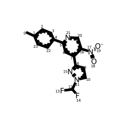 Cc1ccc(-c2cc(-c3ccn(C(F)F)n3)c([N+](=O)[O-])cn2)cc1